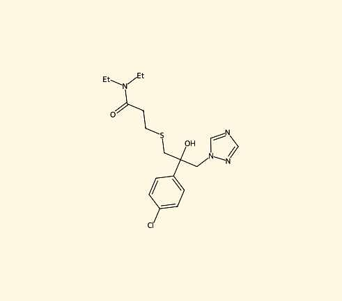 CCN(CC)C(=O)CCSCC(O)(Cn1cncn1)c1ccc(Cl)cc1